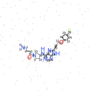 CN(C)CC=CC(=O)N1CCC(Nc2ncnc3[nH]c(C#CCOc4ccc(F)cc4)nc23)C1